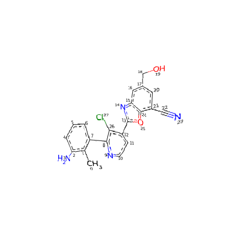 Cc1c(N)cccc1-c1nccc(-c2nc3cc(CO)cc(C#N)c3o2)c1Cl